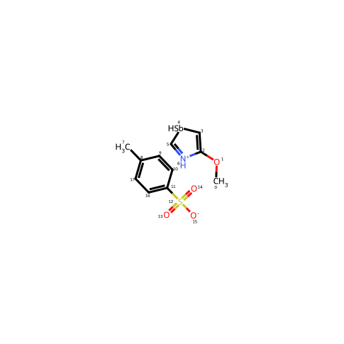 COC1=[CH][SbH][CH]=[NH+]1.Cc1ccc(S(=O)(=O)[O-])cc1